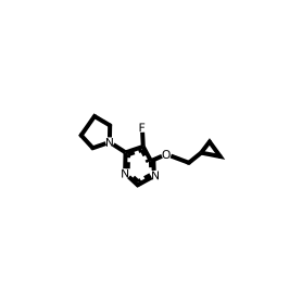 Fc1c(OCC2CC2)ncnc1N1CCCC1